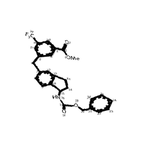 COC(=O)c1cc(Cc2ccc3c(c2)CCC3NC(=O)OCc2ccccc2)cc(C(F)(F)F)c1